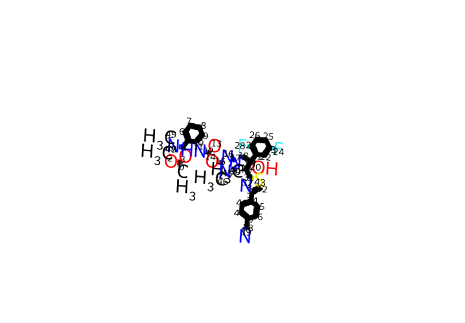 CC(=O)OC(c1ccccc1NC(=O)Oc1nn(C[C@](O)(c2cc(F)ccc2F)[C@@H](C)c2nc(-c3ccc(C#N)cc3)cs2)c[n+]1C)N(C)C